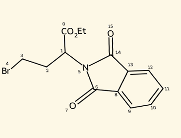 CCOC(=O)C(CCBr)N1C(=O)c2ccccc2C1=O